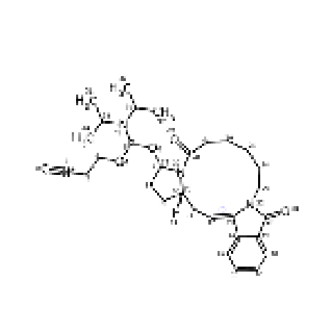 [C-]#[N+]CCOP(O[C@H]1CC[C@H]2C/C=C3/c4ccccc4C(=O)N3CCCCCC(=O)N21)N(C(C)C)C(C)C